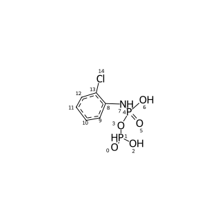 O=[PH](O)OP(=O)(O)Nc1ccccc1Cl